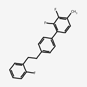 Cc1ccc(-c2ccc(CCc3ccccc3F)cc2)c(F)c1F